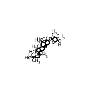 CC1C(O)COC(O[C@H]2CCC34CC35CC[C@]3(C)C([C@@]6(C)CCC(C(C)(C)O)O6)C(O)C[C@@]3(C)C5C[C@H](C)C4C2(C)C)C1C